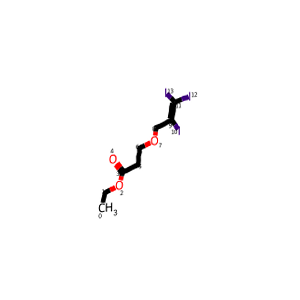 CCOC(=O)CCOCC(I)=C(I)I